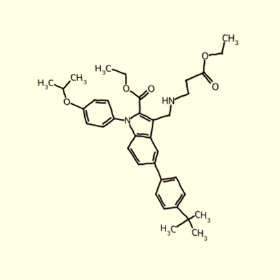 CCOC(=O)CCNCc1c(C(=O)OCC)n(-c2ccc(OC(C)C)cc2)c2ccc(-c3ccc(C(C)(C)C)cc3)cc12